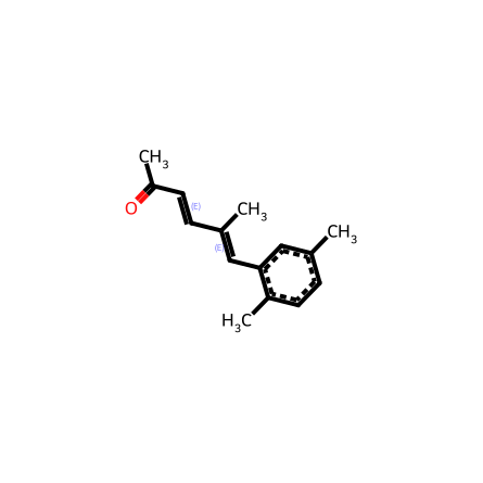 CC(=O)/C=C/C(C)=C/c1cc(C)ccc1C